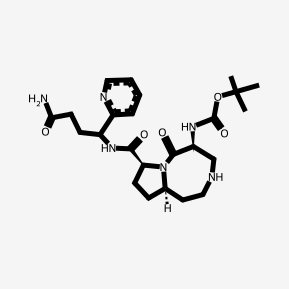 CC(C)(C)OC(=O)N[C@H]1CNCC[C@H]2CC[C@@H](C(=O)NC(CCC(N)=O)c3ccccn3)N2C1=O